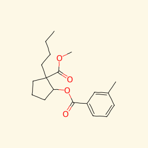 CCCCC1(C(=O)OC)CCCC1OC(=O)c1cccc(C)c1